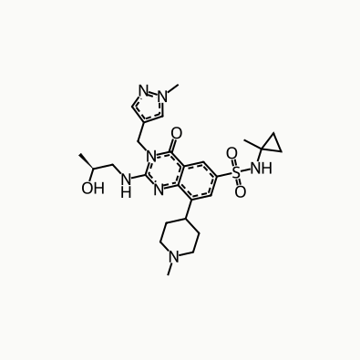 C[C@H](O)CNc1nc2c(C3CCN(C)CC3)cc(S(=O)(=O)NC3(C)CC3)cc2c(=O)n1Cc1cnn(C)c1